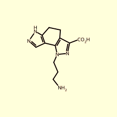 NCCCn1nc(C(=O)O)c2c1-c1cn[nH]c1CC2